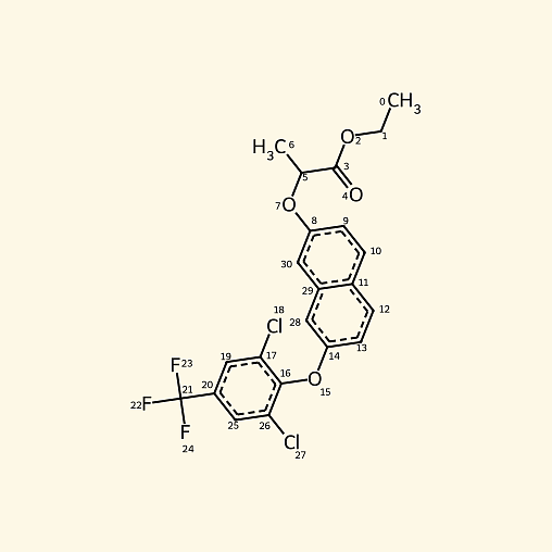 CCOC(=O)C(C)Oc1ccc2ccc(Oc3c(Cl)cc(C(F)(F)F)cc3Cl)cc2c1